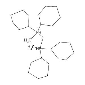 C[PH](C[PH](C)(C1CCCCC1)C1CCCCC1)(C1CCCCC1)C1CCCCC1